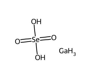 O=[Se](=O)(O)O.[GaH3]